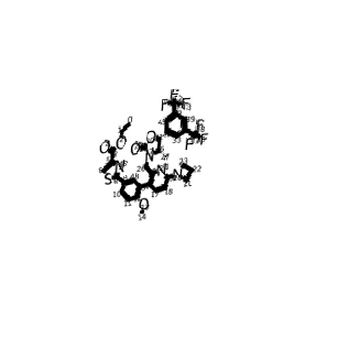 CCOC(=O)c1csc(-c2ccc(OC)c(-c3ccc(N4CCC4)nc3CN3C(=O)O[C@H](c4cc(C(F)(F)F)cc(C(F)(F)F)c4)[C@@H]3C)c2)n1